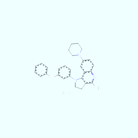 Cc1nc2ccc(N3CCCCC3)cc2c2c1CCN2c1cccc(Oc2ccccc2)c1.Cl